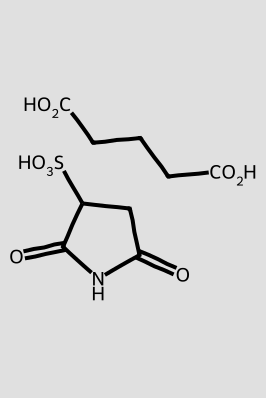 O=C(O)CCCC(=O)O.O=C1CC(S(=O)(=O)O)C(=O)N1